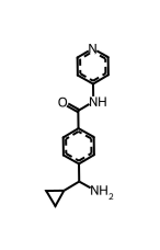 NC(c1ccc(C(=O)Nc2ccncc2)cc1)C1CC1